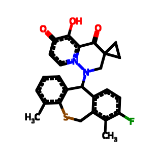 Cc1cccc2c1SCc1c(ccc(F)c1C)C2N1CC2(CC2)C(=O)c2c(O)c(=O)ccn21